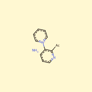 CC(=O)c1ncccc1-[n+]1ccccc1.N